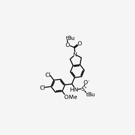 COc1cc(Cl)c(Cl)cc1C(N[S+]([O-])C(C)(C)C)c1ccc2c(c1)CN(C(=O)OC(C)(C)C)C2